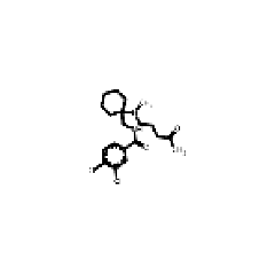 CC(=O)CCCN(C)C1(CNC(=O)c2ccc(Cl)c(Cl)c2)CCCCC1